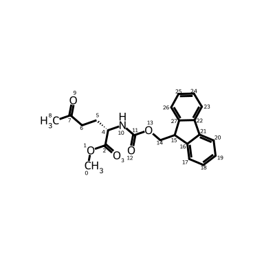 COC(=O)[C@H](CCC(C)=O)NC(=O)OCC1c2ccccc2-c2ccccc21